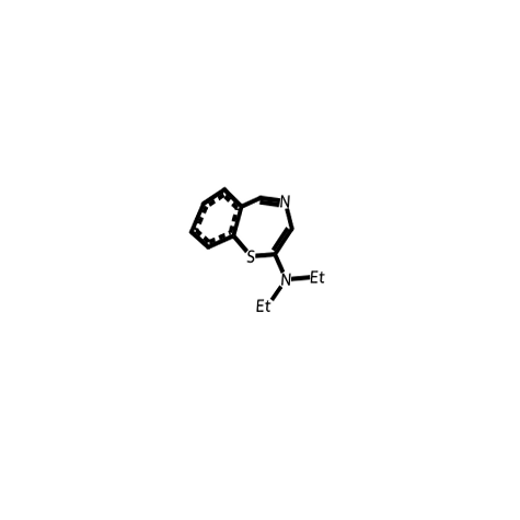 CCN(CC)C1=CN=Cc2ccccc2S1